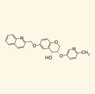 Cc1ccc(O[C@H]2COc3ccc(OCc4ccc5ccccc5n4)cc3[C@H]2O)cn1